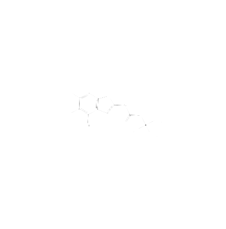 Cc1cc2sc(NC(=O)OC(C)(C)C)cc2c(Br)c1F